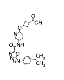 CC(C)c1ccc(Nc2nnc(C(=O)Nc3ccc(OC4CC(C(=O)O)C4)nc3)o2)cc1